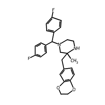 CC1(Cc2ccc3c(c2)OCCO3)CN(C(c2ccc(F)cc2)c2ccc(F)cc2)CCN1